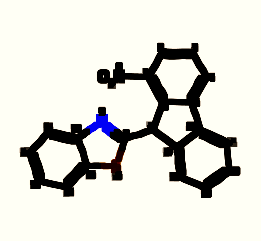 O=[N+]([O-])c1cccc2c1C(c1nc3ccccc3s1)c1ccccc1-2